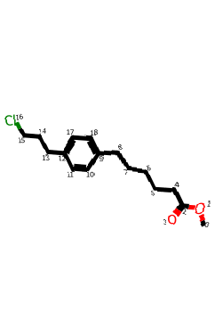 COC(=O)CCCCCc1ccc(CCCCl)cc1